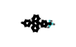 Cc1ccc(-c2c3ccccc3c(-c3ccc(C(F)(F)F)cc3)c3ccccc23)cc1